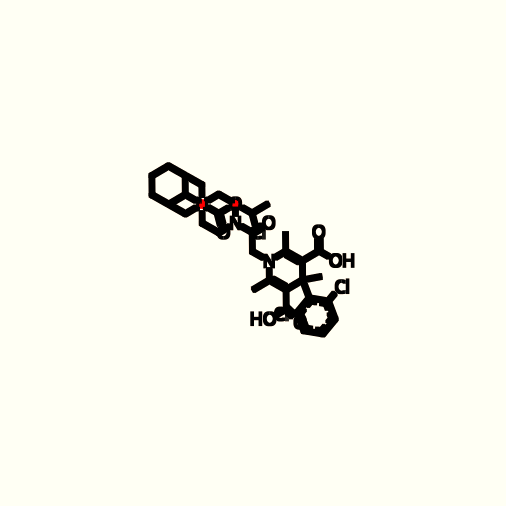 CC1=C(C(=O)O)C(C)(c2c(Cl)cccc2Cl)C(C(=O)O)=C(C)N1CC(=O)N1CCN(C2C3CCCC2CN(C(=O)OC(C)Cl)C3)CC1